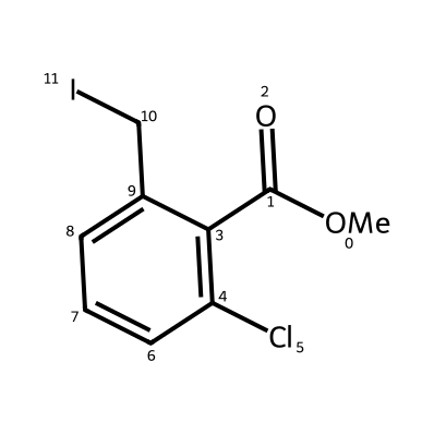 COC(=O)c1c(Cl)cccc1CI